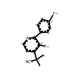 CC(C)(C#N)c1ccnc(-c2ccc(F)cc2)c1F